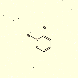 BrC1=CC=CSN1Br